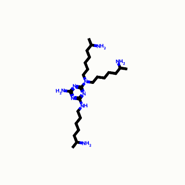 CC(N)CCCCCNc1nc(N)nc(N(CCCCCC(C)N)CCCCCC(C)N)n1